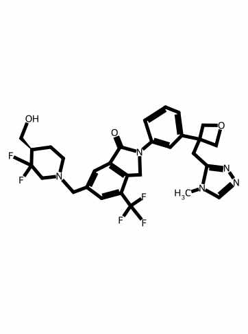 Cn1cnnc1CC1(c2cccc(N3Cc4c(cc(CN5CC[C@H](CO)C(F)(F)C5)cc4C(F)(F)F)C3=O)c2)COC1